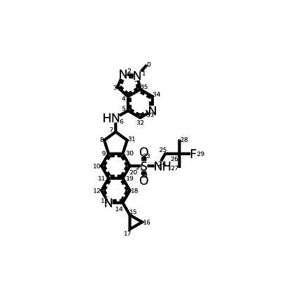 Cn1ncc2c(NC3Cc4cc5cnc(C6CC6)cc5c(S(=O)(=O)NCC(C)(C)F)c4C3)cncc21